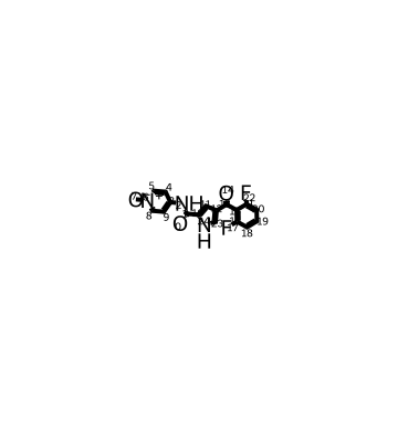 O=C(Nc1cc[n+]([O-])cc1)c1cc(C(=O)c2c(F)cccc2F)c[nH]1